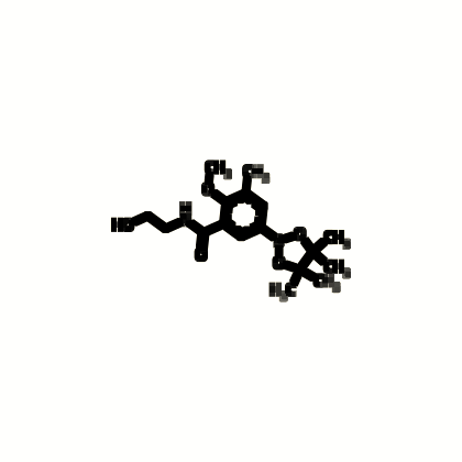 COc1c(C)cc(B2OC(C)(C)C(C)(C)O2)cc1C(=O)NCCO